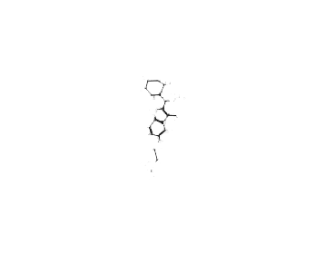 COCCOc1ccc2oc(C(O)C3CCCCC3)c(C)c2c1